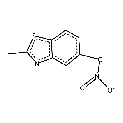 Cc1nc2cc(O[N+](=O)[O-])ccc2s1